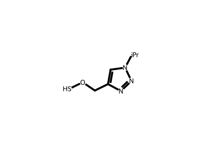 CC(C)n1cc(COS)nn1